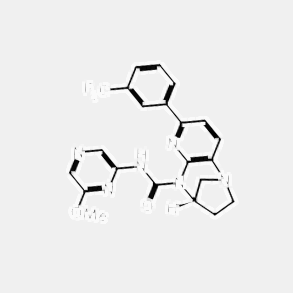 COc1cncc(NC(=O)N2c3nc(-c4cccc(C(F)(F)F)c4)ccc3N3CC[C@H]2C3)n1